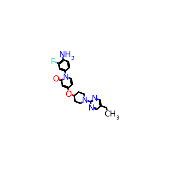 CCc1cnc(N2CCC(Oc3ccn(-c4ccc(N)c(F)c4)c(=O)c3)CC2)nc1